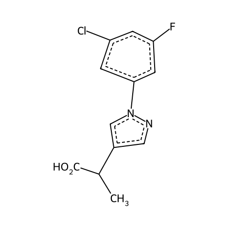 CC(C(=O)O)c1cnn(-c2cc(F)cc(Cl)c2)c1